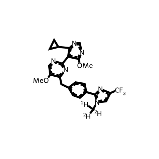 [2H]C([2H])([2H])n1cc(C(F)(F)F)nc1-c1ccc(Cc2nc(-c3c(OC)ncnc3C3CC3)ncc2OC)cc1